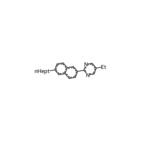 CCCCCCCc1ccc2cc(-c3ncc(CC)cn3)ccc2c1